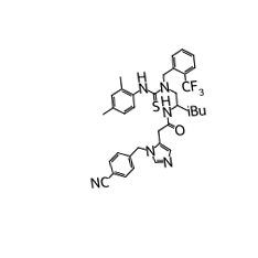 CCC(C)C(CN(Cc1ccccc1C(F)(F)F)C(=S)Nc1ccc(C)cc1C)NC(=O)Cc1cncn1Cc1ccc(C#N)cc1